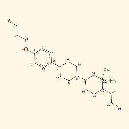 CCCCOc1ccc(C2CCC(C3CCC(CCC)C(F)(F)C3)CC2)cc1